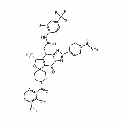 CC(=O)N1CC=C(c2nc3n(CC(=O)Nc4ccc(C(F)(F)F)cc4Cl)c4c(c(=O)n3n2)C2(CCN(C(=O)c3ncnc(C)c3O)CC2)O[C@@H]4C)CC1